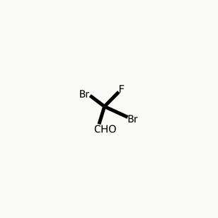 O=CC(F)(Br)Br